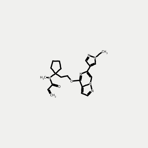 C=CC(=O)N(C)C1(CCOc2nc(-c3cnn(C)c3)cn3nccc23)CCCC1